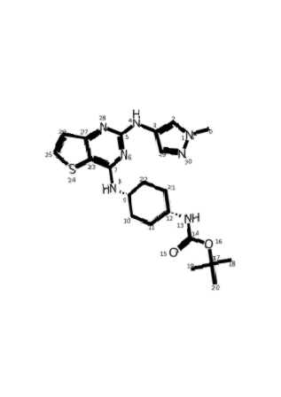 Cn1cc(Nc2nc(N[C@H]3CC[C@@H](NC(=O)OC(C)(C)C)CC3)c3sccc3n2)cn1